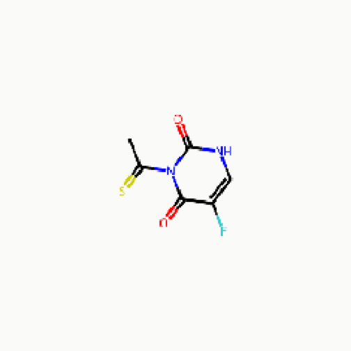 CC(=S)n1c(=O)[nH]cc(F)c1=O